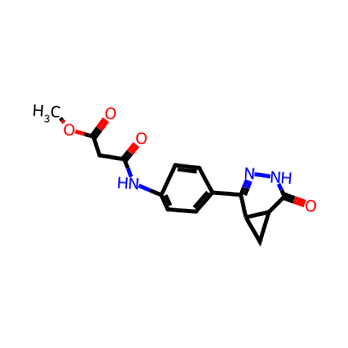 COC(=O)CC(=O)Nc1ccc(C2=NNC(=O)C3CC23)cc1